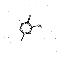 Cn1nc(F)ccc1=O